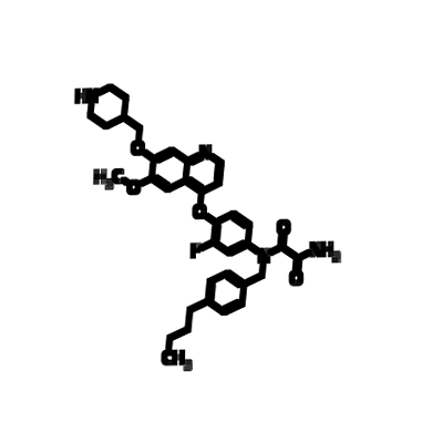 CCCCc1ccc(CN(C(=O)C(N)=O)c2ccc(Oc3ccnc4cc(OCC5CCNCC5)c(OC)cc34)c(F)c2)cc1